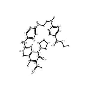 CCOC(=O)c1cnc(N(C)CCOc2ccc(Nc3ncc4c(C)c(C(C)=O)c(=O)n(C5CCCC5)c4n3)nc2)nc1